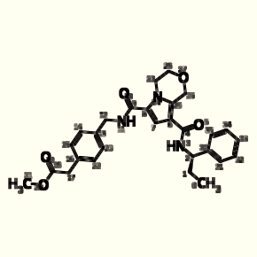 CC[C@@H](NC(=O)c1cc(C(=O)NCc2ccc(CC(=O)OC)cc2)n2c1COCC2)c1ccccc1